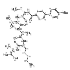 CCCCc1ccc(-c2ccc(C(=O)N[C@@H](CN)C(=O)N[C@H](C(=O)N[C@@H](N)C(=O)N[C@@H](CCCCN)C(=O)N[C@@H](N)B(O)O)[C@@H](C)O)cc2)cc1